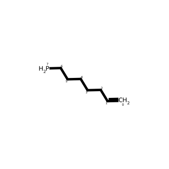 C=CCCCCCP